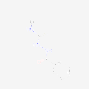 CCNC(=S)NNC(=O)c1ccccc1